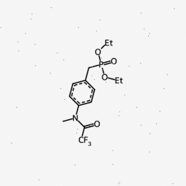 CCOP(=O)(Cc1ccc(N(C)C(=O)C(F)(F)F)cc1)OCC